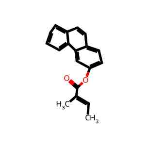 CC=C(C)C(=O)Oc1ccc2ccc3ccccc3c2c1